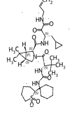 C=CCNC(=O)C(=O)[C@H](CC1CC1)NC(=O)[C@@H]1[C@@H]2[C@H](CN1C(=O)[C@@H](NC(=O)NC1([C@@H]3CCCCS3(=O)=O)CCCCC1)C(C)(C)C)C2(C)C